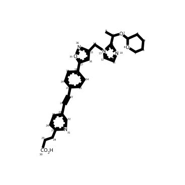 CC(OC1CCCCO1)c1nccn1Cc1cc(-c2ccc(C#Cc3ccc(CCC(=O)O)nc3)cc2)on1